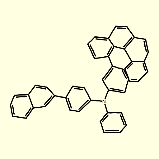 c1ccc(N(c2ccc(-c3ccc4ccccc4c3)cc2)c2cccc(-c3cccc4ccc5ccc6ccccc6c5c34)c2)cc1